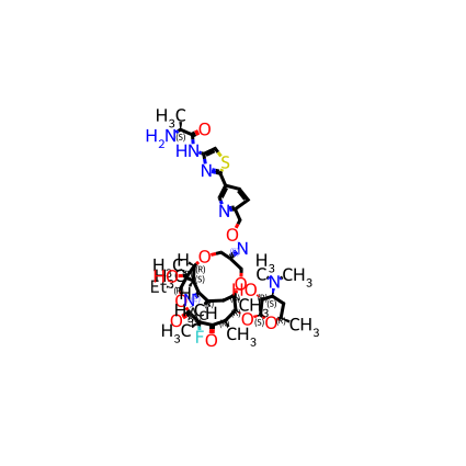 CC[C@H]1OC(=O)[C@@](C)(F)C(=O)[C@H](C)[C@@H](O[C@@H]2O[C@H](C)C[C@H](N(C)C)[C@H]2O)[C@@]2(C)C[C@@H](C)/C(=N\C(C)=O)[C@H](C)[C@@H](OC/C(=N\OCc3ccc(-c4nc(NC(=O)[C@H](C)N)cs4)cn3)CO2)[C@]1(C)O